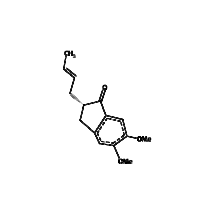 CC=CC[C@H]1Cc2cc(OC)c(OC)cc2C1=O